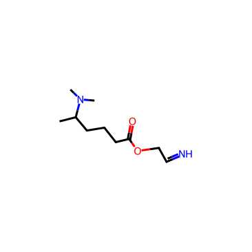 CC(CCCC(=O)OCC=N)N(C)C